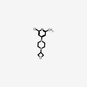 Cc1cc(N2CCN(C3COC3)CC2)cc(Cl)n1